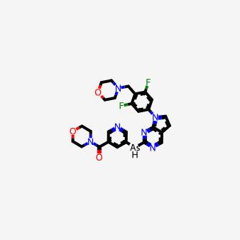 O=C(c1cncc([AsH]c2ncc3ccn(-c4cc(F)c(CN5CCOCC5)c(F)c4)c3n2)c1)N1CCOCC1